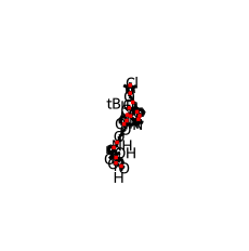 Cc1cc(OCCCc2c(C(=O)OC(C)(C)C)n(CCN3CCOCC3)c3c(-c4c(C)nn(CCCOCCOCCNc5cccc6c5C(O)N(C5CCC(=O)NC5=O)C6=O)c4C)cccc23)cc(C)c1Cl